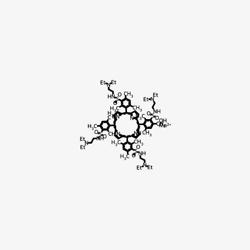 CCN(CC)CCNS(=O)(=O)c1c(C)cc(C)c(-c2c3nc(c(-c4c(C)cc(C)c(S(=O)(=O)NCCN(CC)CC)c4C)c4ccc([nH]4)c(-c4c(C)cc(C)c(S(=O)(=O)NCCN(CC)CC)c4C)c4nc(c(-c5c(C)cc(C)c(S(=O)(=O)NCCN(CC)CC)c5C)c5ccc2[nH]5)C=C4)C=C3)c1C.[OH][Mn+2]